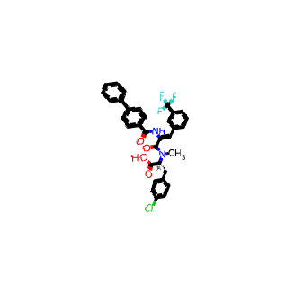 CN(C(=O)C(=Cc1cccc(C(F)(F)F)c1)NC(=O)c1ccc(-c2ccccc2)cc1)[C@H](Cc1ccc(Cl)cc1)C(=O)O